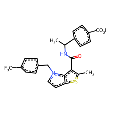 Cc1sc2ccn(Cc3ccc(C(F)(F)F)cc3)c2c1C(=O)NC(C)c1ccc(C(=O)O)cc1